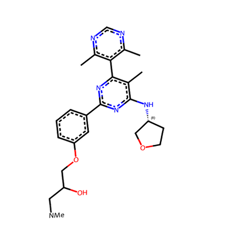 CNCC(O)COc1cccc(-c2nc(N[C@@H]3CCOC3)c(C)c(-c3c(C)ncnc3C)n2)c1